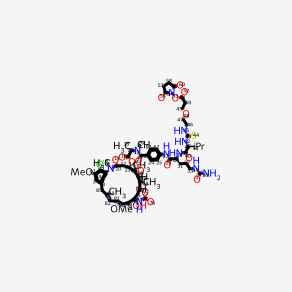 COc1cc2cc(c1Cl)N(C)C(=O)C[C@H](OC(=O)[C@H](C)N(C)C(=O)c1ccc(NC(=O)[C@H](CCCNC(N)=O)NC(=O)[C@@H](NC(=S)NCCOCCC(=O)ON3C(=O)CCC3=O)C(C)C)cc1)[C@]1(C)O[C@H]1[C@H](C)[C@@H]1C[C@@](O)(NC(=O)O1)[C@H](OC)/C=C/C=C(\C)C2